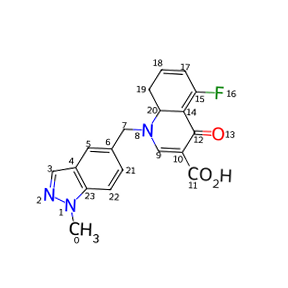 Cn1ncc2cc(CN3C=C(C(=O)O)C(=O)C4=C(F)C=CCC43)ccc21